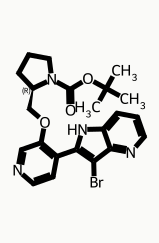 CC(C)(C)OC(=O)N1CCC[C@@H]1COc1cnccc1-c1[nH]c2cccnc2c1Br